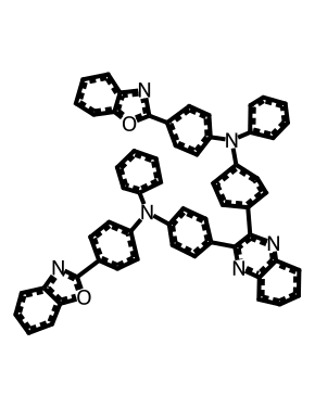 c1ccc(N(c2ccc(-c3nc4ccccc4o3)cc2)c2ccc(-c3nc4ccccc4nc3-c3ccc(N(c4ccccc4)c4ccc(-c5nc6ccccc6o5)cc4)cc3)cc2)cc1